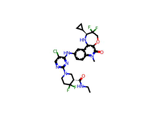 CCNC(=O)[C@H]1CN(c2ncc(Cl)c(Nc3ccc4c(c3)c3c(c(=O)n4C)OCC(F)(F)[C@H](C4CC4)N3)n2)CCC1(F)F